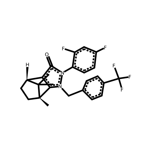 CC1(C)[C@@H]2CC[C@@]1(C)c1c2c(=O)n(-c2ccc(F)cc2F)n1Cc1ccc(C(F)(F)F)cc1